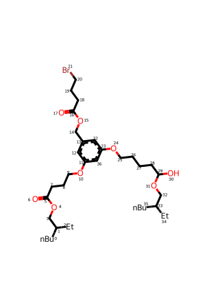 CCCCC(CC)COC(=O)CCCOc1cc(COC(=O)CCCBr)cc(OCCCCC(O)OCC(CC)CCCC)c1